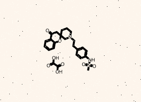 CS(=O)(=O)Nc1ccc(CCN2CCCC3(CC(=O)c4ccccc4O3)C2)cc1.O=C(O)C(=O)O